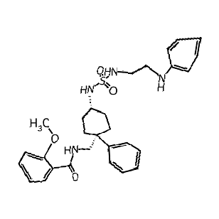 COc1ccccc1C(=O)NC[C@]1(c2ccccc2)CC[C@H](NS(=O)(=O)NCCNc2ccccc2)CC1